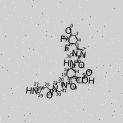 COc1ccc(-c2cnc(C(=O)Nc3ccc(C(=O)N4CCN(C(=O)CC5CNC5)CC4)c(Cl)c3)n2C)c(F)c1F.O=CO